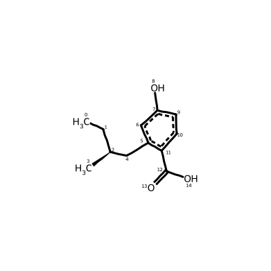 CC[C@H](C)Cc1cc(O)ccc1C(=O)O